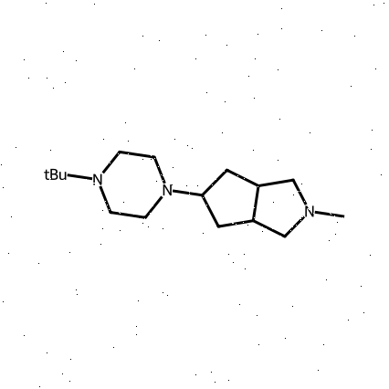 CN1CC2CC(N3CCN(C(C)(C)C)CC3)CC2C1